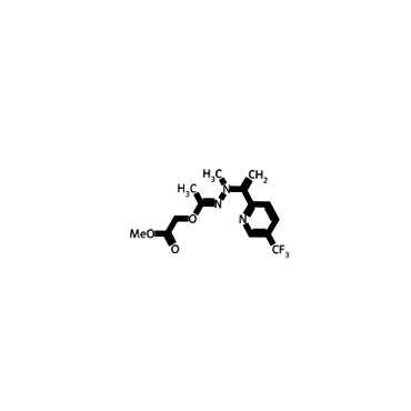 C=C(c1ccc(C(F)(F)F)cn1)N(C)/N=C(\C)OCC(=O)OC